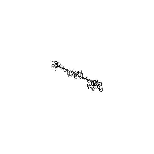 Cc1cccc(S(=O)(=O)NCCOCCOCCOCCNC(=O)[C@@H](O)[C@H](O)C(=O)NCCOCCOCCOCCNS(=O)(=O)N(C)Cc2c(C)cc(Cl)cc2Cl)c1